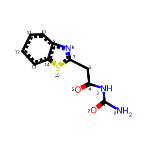 NC(=O)NC(=O)Cc1nc2ccccc2s1